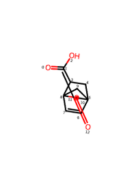 O=C(O)C1CC23C=CC1(C2)OC3=O